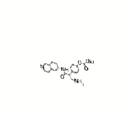 CC(C)(C)C(=O)Oc1ccc(C(CN)C(=O)Nc2ccc3cnccc3c2)cc1